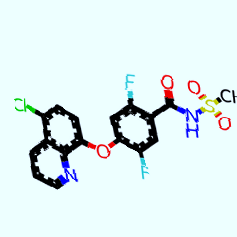 CS(=O)(=O)NC(=O)c1cc(F)c(Oc2ccc(Cl)c3cccnc23)cc1F